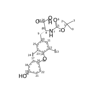 CC(C)(C)OC(=O)N[C@H](Cc1cc(I)c(Oc2ccc(O)cc2)c(I)c1)C(=O)O